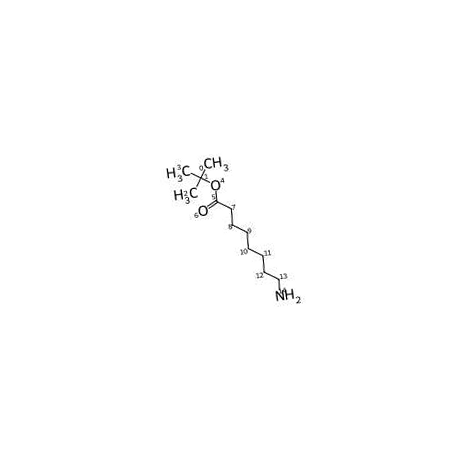 CC(C)(C)OC(=O)CCCCCCCN